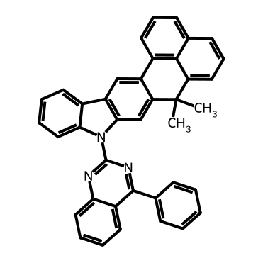 CC1(C)c2cc3c(cc2-c2cccc4cccc1c24)c1ccccc1n3-c1nc(-c2ccccc2)c2ccccc2n1